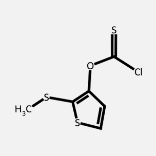 CSc1sccc1OC(=S)Cl